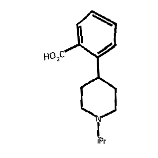 CC(C)N1CCC(c2ccccc2C(=O)O)CC1